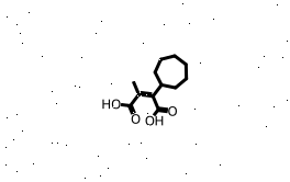 C/C(C(=O)O)=C(/C(=O)O)C1CCCCCC1